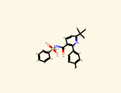 Cc1ccc(-c2nc(C(C)(C)C)ccc2C(=O)NS(=O)(=O)c2ccccc2)cc1